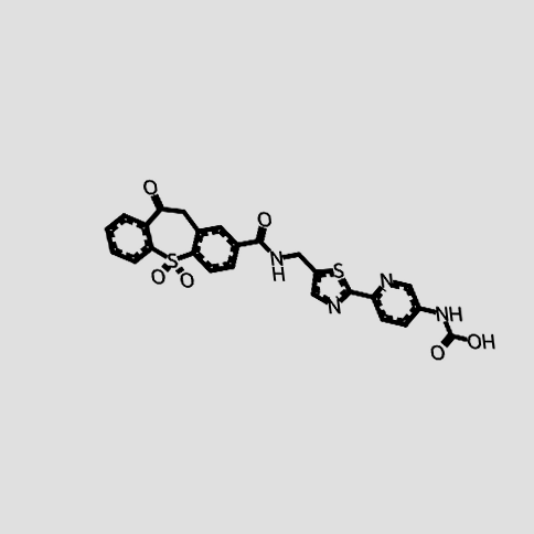 O=C(O)Nc1ccc(-c2ncc(CNC(=O)c3ccc4c(c3)CC(=O)c3ccccc3S4(=O)=O)s2)nc1